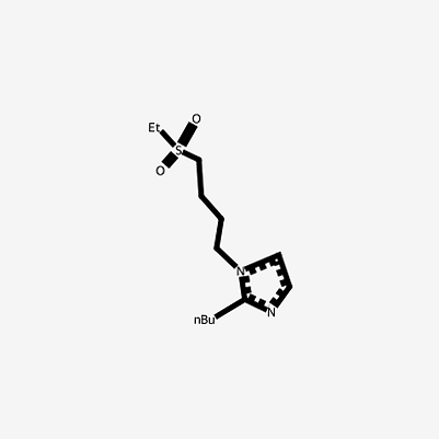 CCCCc1nccn1CCCCS(=O)(=O)CC